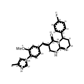 COc1cc(/C=C2\CNC3=NCCC(c4ccc(F)cc4)N3C2=O)ccc1-n1cnc(C)c1